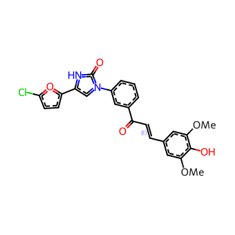 COc1cc(/C=C/C(=O)c2cccc(-n3cc(-c4ccc(Cl)o4)[nH]c3=O)c2)cc(OC)c1O